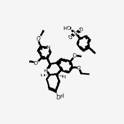 CCOc1cc2c(cc1OC)C(c1cnc(OC)cc1OC)=N[C@@H]1CC[C@@H](O)C[C@H]21.Cc1ccc(S(=O)(=O)O)cc1